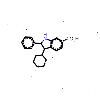 O=C(O)c1ccc2c(c1)NC(c1ccccc1)C2C1CCCCC1